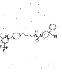 CC(C)(C)c1nc(N2CCN(CCCCNC(=O)N3CCC(C#N)(c4ccccc4)CC3)CC2)cc(C(F)(F)F)n1